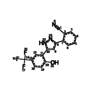 N#Cc1ccccc1-c1cc(-c2cc(C(F)(F)F)ccc2O)[nH]n1